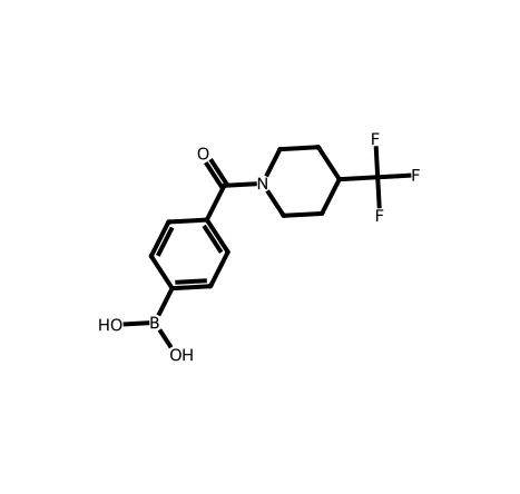 O=C(c1ccc(B(O)O)cc1)N1CCC(C(F)(F)F)CC1